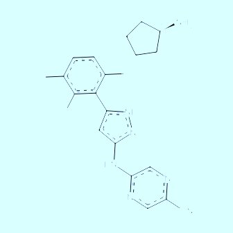 N#Cc1cnc(Nc2cc(-c3c(O[C@@H]4CC[C@@H](N)C4)ccc(F)c3F)[nH]n2)cn1